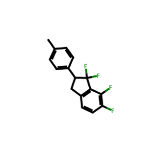 Cc1ccc(C2Cc3ccc(F)c(F)c3C2(F)F)cc1